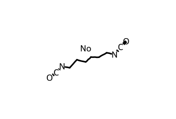 O=C=NCCCCCCN=C=O.[No]